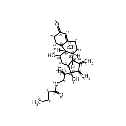 C=C1C(=C)[C@](O)(C(=O)COC(=O)CCC)[C@@]2(C)CC(O)[C@H]3[C@@H](CCC4=CC(=O)CC[C@@]43C)[C@H]12